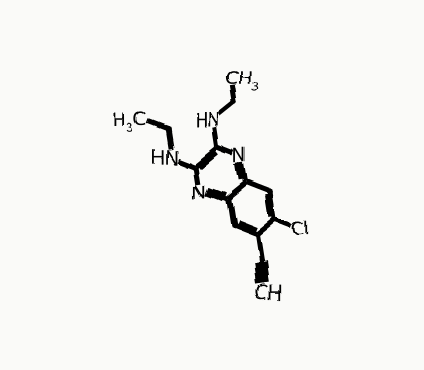 C#Cc1cc2nc(NCC)c(NCC)nc2cc1Cl